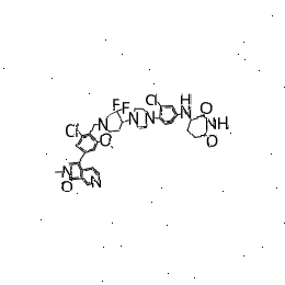 COc1cc(-c2cn(C)c(=O)c3cnccc23)cc(Cl)c1CN1CCC(N2CCN(c3ccc(NC4CCC(=O)NC4=O)cc3Cl)CC2)C(F)(F)C1